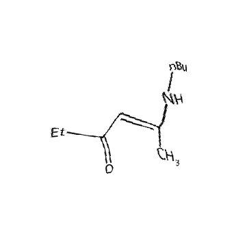 CCCCNC(C)=CC(=O)CC